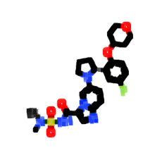 CCN(C)S(=O)(=O)NC(=O)c1cnc2ccc(N3CCC[C@@H]3c3cc(F)ccc3OC3CCOCC3)cn12